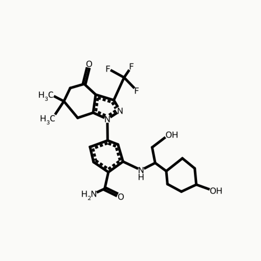 CC1(C)CC(=O)c2c(C(F)(F)F)nn(-c3ccc(C(N)=O)c(NC(CO)C4CCC(O)CC4)c3)c2C1